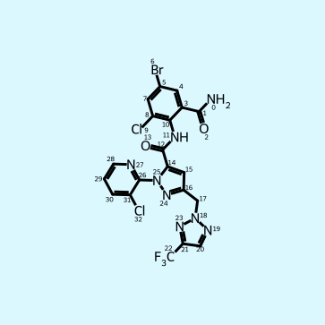 NC(=O)c1cc(Br)cc(Cl)c1NC(=O)c1cc(Cn2ncc(C(F)(F)F)n2)nn1-c1ncccc1Cl